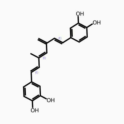 C=C(/C=C/c1ccc(O)c(O)c1)/C=C(C)/C=C/c1ccc(O)c(O)c1